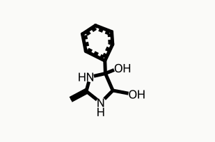 C=C1NC(O)C(O)(c2ccccc2)N1